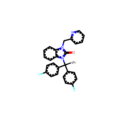 CCCC(c1ccc(F)cc1)(c1ccc(F)cc1)n1c(=O)n(Cc2ccccn2)c2ccccc21